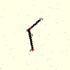 CC(C)CCCCCCCCCCCCCCC(=O)OC=COC(=O)CCCCCCCCCCCCCCC(C)C